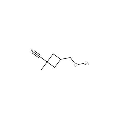 CC1(C#N)CC(COS)C1